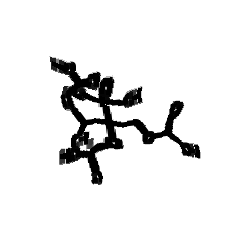 CC(OC(=O)O)C(COC(=O)O)(OC(=O)O)P(=O)(O)O